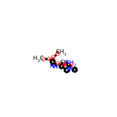 COCCOc1cc2ncnc(Oc3ccc(C4CCCn5c4c(C(N)=O)c(=O)n5-c4ccccc4)cc3C)c2cc1OCCOC